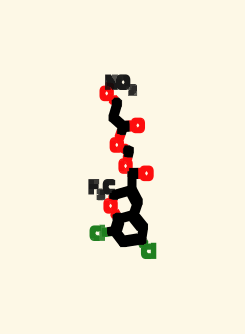 O=C(CCO[N+](=O)[O-])OCOC(=O)C1=Cc2cc(Cl)cc(Cl)c2OC1C(F)(F)F